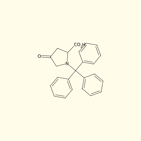 O=C1CC(C(=O)O)N(C(c2ccccc2)(c2ccccc2)c2ccccc2)C1